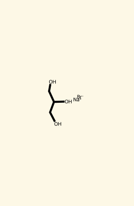 OCC(O)CO.[Br-].[Na+]